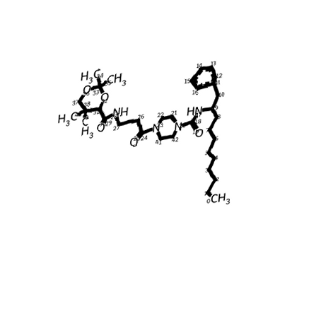 CCCCCCCCCC(Cc1ccccc1)NC(=O)N1CCN(C(=O)CCNC(=O)C2OC(C)(C)OCC2(C)C)CC1